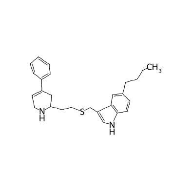 CCCCc1ccc2[nH]cc(CSCCC3CC(c4ccccc4)=CCN3)c2c1